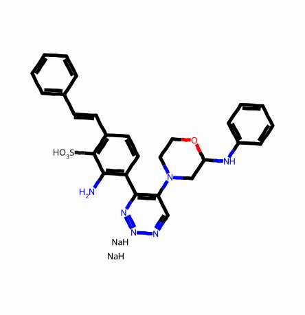 Nc1c(-c2nnncc2N2CCOC(Nc3ccccc3)C2)ccc(C=Cc2ccccc2)c1S(=O)(=O)O.[NaH].[NaH]